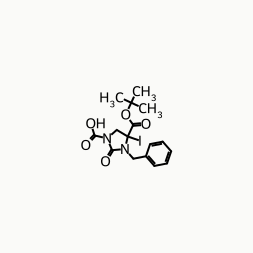 CC(C)(C)OC(=O)C1(I)CN(C(=O)O)C(=O)N1Cc1ccccc1